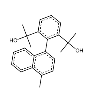 Cc1ccc(-c2c(C(C)(C)O)cccc2C(C)(C)O)c2ccccc12